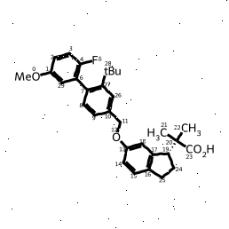 COc1ccc(F)c(-c2ccc(COc3ccc4c(c3)[C@H](C(C)(C)C(=O)O)CC4)cc2C(C)(C)C)c1